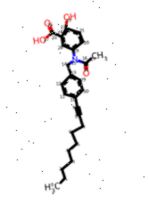 CCCCCCCCC#Cc1ccc(CN(C(C)=O)c2ccc(O)c(C(=O)O)c2)cc1